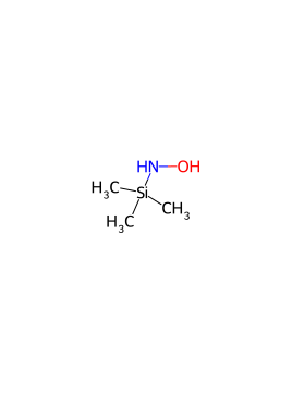 C[Si](C)(C)NO